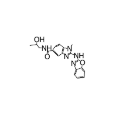 CC(O)CNC(=O)c1ccc2c(c1)nc(Nc1nc3ccccc3o1)n2C